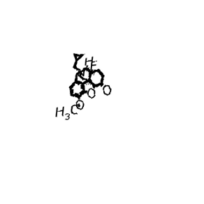 COc1ccc2c3c1OC1C(=O)CC[C@@]4(F)[C@@H](C2)N(CC2CC2)CC[C@]314